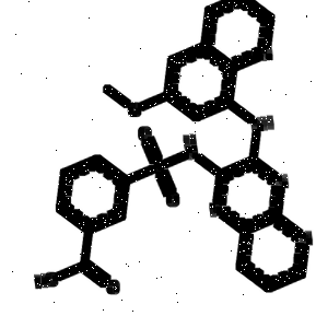 COc1cc(Nc2nc3ncccc3nc2NS(=O)(=O)c2cccc(C(=O)O)c2)c2ncccc2c1